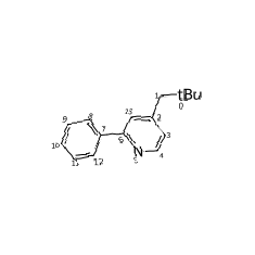 CC(C)(C)Cc1ccnc(-c2ccccc2)c1